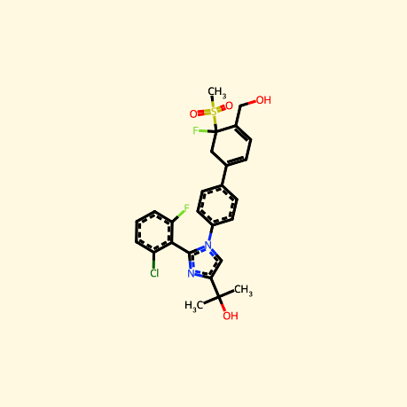 CC(C)(O)c1cn(-c2ccc(C3=CC=C(CO)C(F)(S(C)(=O)=O)C3)cc2)c(-c2c(F)cccc2Cl)n1